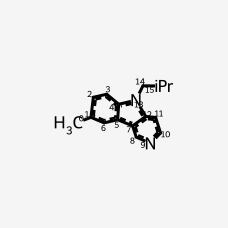 Cc1ccc2c(c1)c1cnccc1n2CC(C)C